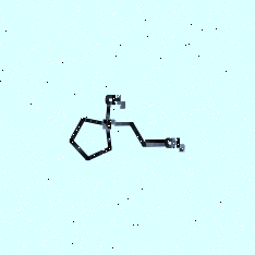 C=CC[N+]1(C)CCCC1